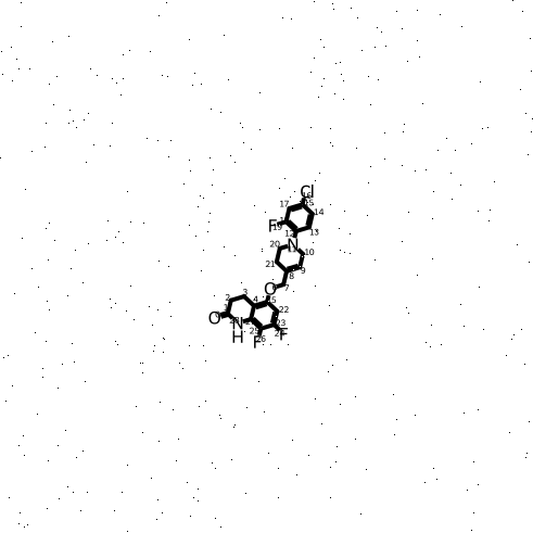 O=C1CCc2c(OCC3=CCN(c4ccc(Cl)cc4F)CC3)cc(F)c(F)c2N1